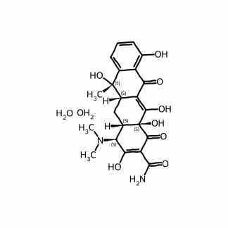 CN(C)[C@@H]1C(O)=C(C(N)=O)C(=O)[C@@]2(O)C(O)=C3C(=O)c4c(O)cccc4[C@@](C)(O)[C@H]3C[C@@H]12.O.O